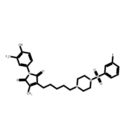 CC1=C(CCCCCN2CCN(S(=O)(=O)c3cccc(F)c3)CC2)C(=O)N(c2ccc(C#N)c(C(F)(F)F)c2)C1=O